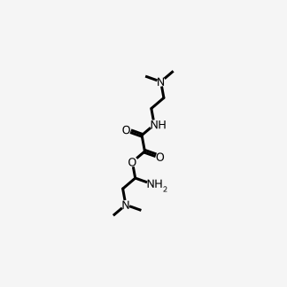 CN(C)CCNC(=O)C(=O)OC(N)CN(C)C